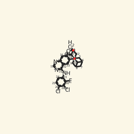 C=CC(=O)N1CC2CC(C1)C2N1CCOc2cc3ncnc(Nc4ccc(Cl)c(Cl)c4F)c3cc21